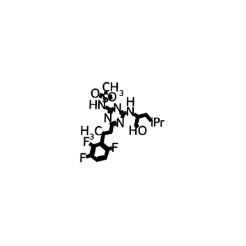 CC(C)CC(CO)Nc1nc(CC(C)c2c(F)ccc(F)c2F)nc(NS(C)(=O)=O)n1